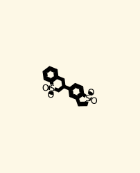 O=S1(=O)C=Cc2cc(C3Cc4ccccc4S(=O)(=O)C3)ccc21